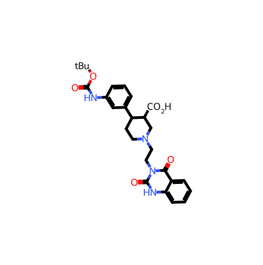 CC(C)(C)OC(=O)Nc1cccc(C2CCN(CCn3c(=O)[nH]c4ccccc4c3=O)CC2C(=O)O)c1